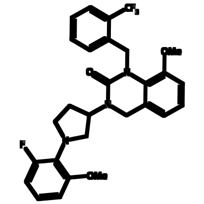 COc1cccc(F)c1N1CCC(N2Cc3cccc(OC)c3N(Cc3ccccc3C(F)(F)F)C2=O)C1